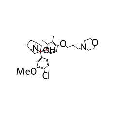 COc1cc(C2(O)CC3CCC(C2)N3Cc2ccc(OCCCN3CCOCC3)c(C)c2C)ccc1Cl